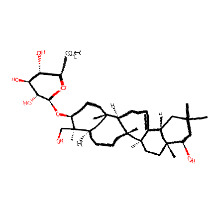 CC1(C)C[C@@H](O)[C@]2(C)CC[C@]3(C)C(=CC[C@@H]4[C@@]5(C)CC[C@H](O[C@@H]6O[C@H](C(=O)O)[C@@H](O)[C@H](O)[C@H]6O)[C@](C)(CO)[C@@H]5CC[C@]43C)[C@@H]2C1